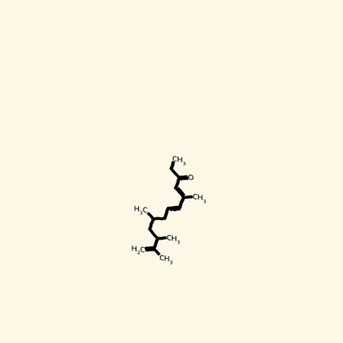 C=C(C)C(C)CC(C)CC=CC(C)=CC(=O)CC